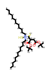 CCCCCCCCCCCC[N+](S)(CCCCCCCCCCCC)C(=S)C(CC(=O)OC(C)(C)C)C(=O)OC(C)(C)C